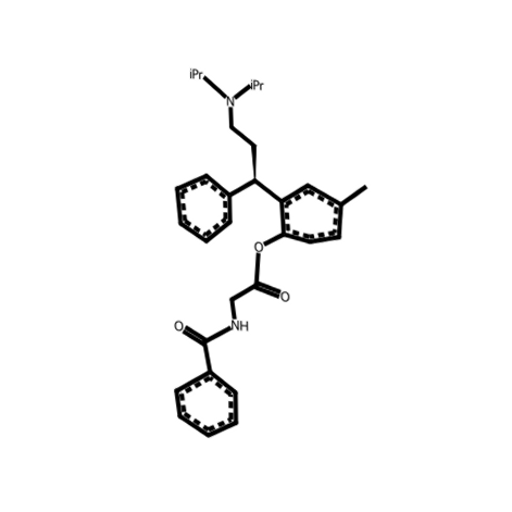 Cc1ccc(OC(=O)CNC(=O)c2ccccc2)c([C@H](CCN(C(C)C)C(C)C)c2ccccc2)c1